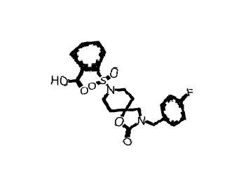 O=C(O)c1ccccc1S(=O)(=O)N1CCC2(CC1)CN(Cc1ccc(F)cc1)C(=O)O2